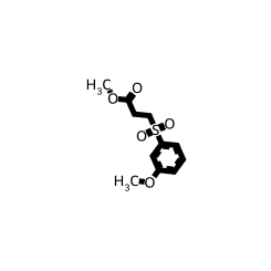 COC(=O)CCS(=O)(=O)c1cccc(OC)c1